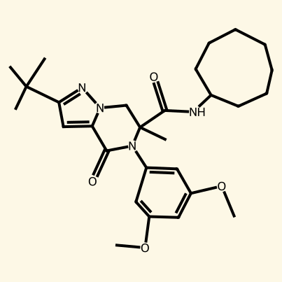 COc1cc(OC)cc(N2C(=O)c3cc(C(C)(C)C)nn3CC2(C)C(=O)NC2CCCCCCC2)c1